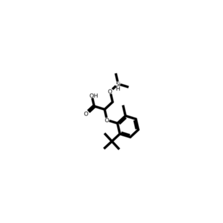 Cc1cccc(C(C)(C)C)c1OC(CO[SiH](C)C)C(=O)O